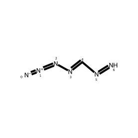 [N-]=[N+]=NN=CN=N